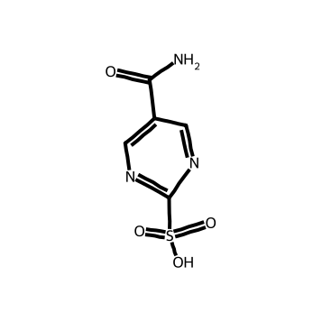 NC(=O)c1cnc(S(=O)(=O)O)nc1